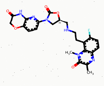 Cc1nc2ccc(F)c(CCNC[C@H]3CN(c4ccc5c(n4)NC(=O)CO5)C(=O)O3)c2n(C)c1=O